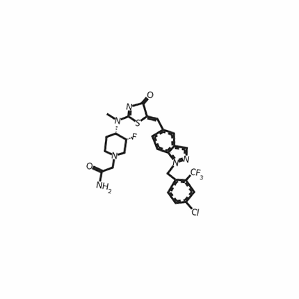 CN(C1=NC(=O)/C(=C/c2ccc3c(cnn3Cc3ccc(Cl)cc3C(F)(F)F)c2)S1)[C@H]1CCN(CC(N)=O)C[C@H]1F